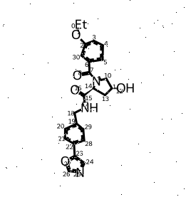 CCOc1cccc(C(=O)N2C[C@H](O)C[C@H]2C(=O)NCc2ccc(-c3cnco3)cc2)c1